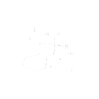 CC(C)(C)P(C1CCCCC1)C(C)(C)C.[CH3][Pd+].[Cl-]